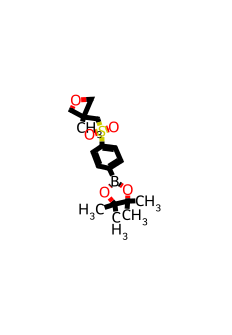 CC1(CS(=O)(=O)c2ccc(B3OC(C)(C)C(C)(C)O3)cc2)COC1